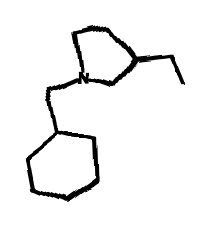 CCC1CCN(CC2CCCCC2)C1